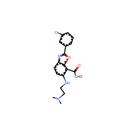 CN(C)CCNc1ccc2nc(-c3cccc(Cl)c3)oc2c1C(=O)C=O